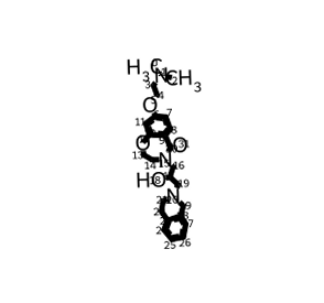 CN(C)CCOc1ccc2c(c1)OCCN(CC(O)CN1CCc3ccccc3C1)C2=O